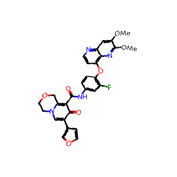 COc1cc2nccc(Oc3ccc(NC(=O)c4c5n(cc(-c6ccoc6)c4=O)CCOC5)cc3F)c2nc1OC